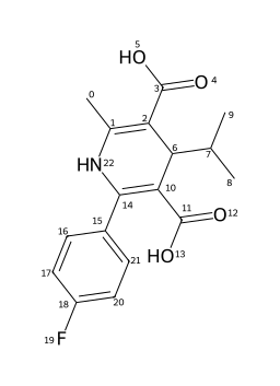 CC1=C(C(=O)O)C(C(C)C)C(C(=O)O)=C(c2ccc(F)cc2)N1